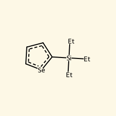 CC[Si](CC)(CC)c1ccc[se]1